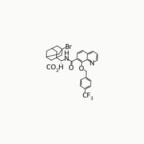 O=C(N[C@H](C(=O)O)C12CC3CC(CC(Br)(C3)C1)C2)c1ccc2cccnc2c1OCc1ccc(C(F)(F)F)cc1